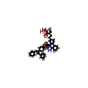 CCC(CCc1ccc(-c2ccccc2)c(NC(=O)OC2(C)CCC(N(Cc3ccccc3)Cc3ccccc3)CC2)c1)C(=O)O